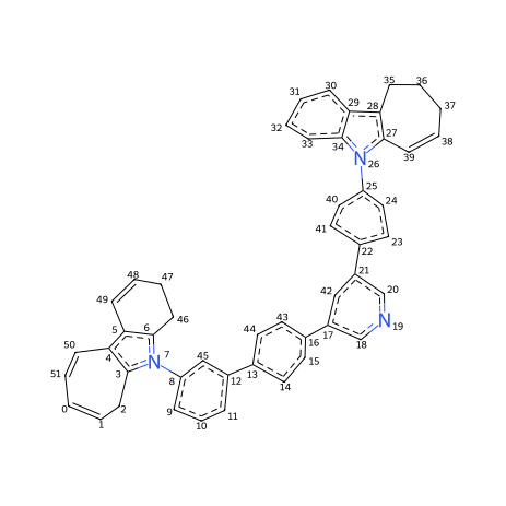 C1=CCc2c(c3c(n2-c2cccc(-c4ccc(-c5cncc(-c6ccc(-n7c8c(c9ccccc97)CCCC=C8)cc6)c5)cc4)c2)CCC=C3)C=C1